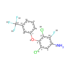 Nc1cc(Cl)c(Oc2cccc(C(F)(F)F)c2)c(Cl)c1F